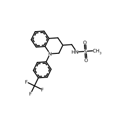 CS(=O)(=O)NCC1Cc2ccccc2N(c2ccc(C(F)(F)F)cc2)C1